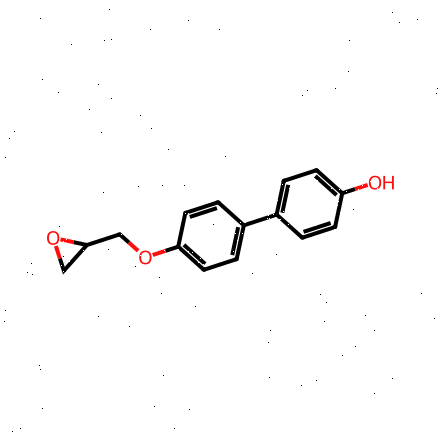 Oc1ccc(-c2ccc(OCC3CO3)cc2)cc1